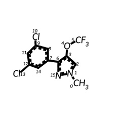 Cn1cc(OC(F)(F)F)c(-c2cc(Cl)cc(Cl)c2)n1